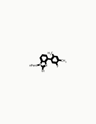 CCCCCn1c(CC)nc2c(-c3cc(F)c(C)cc3C)cccc21